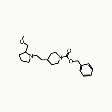 COCC1CCCN1CCC1CCN(C(=O)OCc2ccccc2)CC1